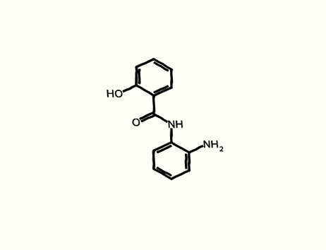 Nc1ccccc1NC(=O)c1ccccc1O